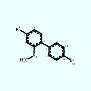 CSc1cc(Br)ccc1-c1ccc(Br)cc1